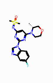 C[C@@H]1COCCN1c1cc(N=S(C)(C)=O)nc(-n2cnc3cc(F)ccc32)n1